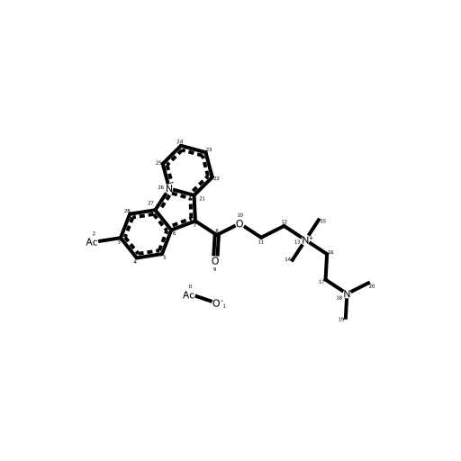 CC(=O)[O-].CC(=O)c1ccc2c(C(=O)OCC[N+](C)(C)CCN(C)C)c3ccccn3c2c1